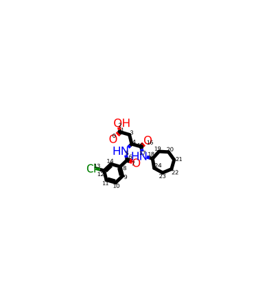 O=C(O)CC(NC(=O)c1cccc(Cl)c1)C(=O)NC1CCCCCC1